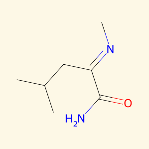 C/N=C(\CC(C)C)C(N)=O